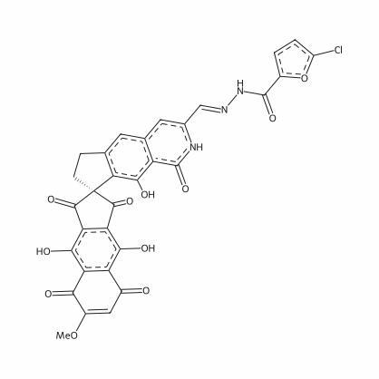 COC1=CC(=O)c2c(O)c3c(c(O)c2C1=O)C(=O)[C@]1(CCc2cc4cc(/C=N/NC(=O)c5ccc(Cl)o5)[nH]c(=O)c4c(O)c21)C3=O